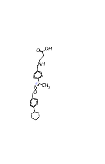 C/C(=N\OCc1ccc(C2CCCCC2)cc1)c1ccc(CNCCC(=O)O)cc1